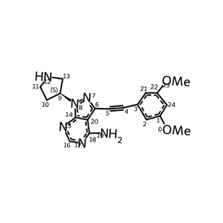 COc1cc(C#Cc2nn([C@H]3CCNC3)c3ncnc(N)c23)cc(OC)c1